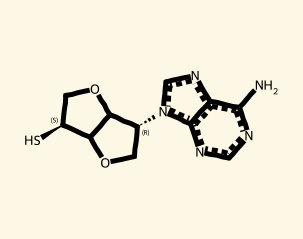 Nc1ncnc2c1ncn2[C@@H]1COC2C1OC[C@@H]2S